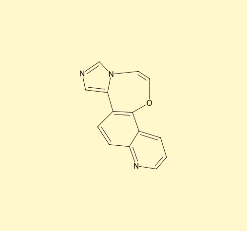 C1=Cn2cncc2-c2ccc3ncccc3c2O1